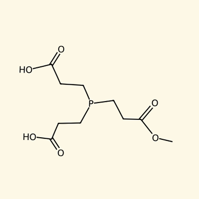 COC(=O)CCP(CCC(=O)O)CCC(=O)O